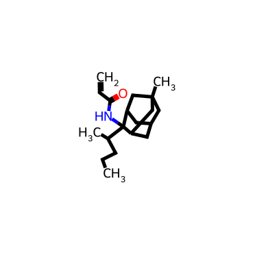 C=CC(=O)NC1(C(C)CCC)C2CC3CC1CC(C)(C3)C2